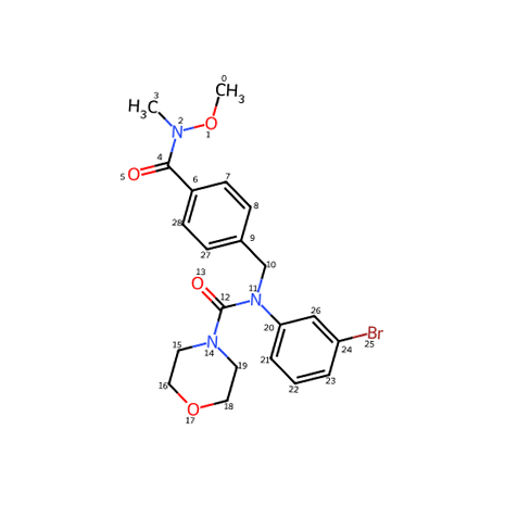 CON(C)C(=O)c1ccc(CN(C(=O)N2CCOCC2)c2cccc(Br)c2)cc1